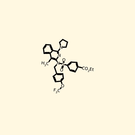 CCOC(=O)c1ccc(S(=O)(=O)N(Cc2ccc(OC(F)(F)F)cc2)c2nc(N3CCCC3)c3ccccc3c2C)cc1